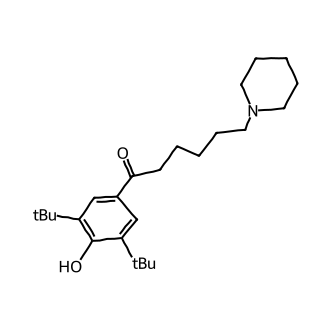 CC(C)(C)c1cc(C(=O)CCCCCN2CCCCC2)cc(C(C)(C)C)c1O